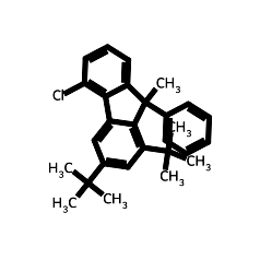 CC(C)(C)c1cc2c(c(C(C)(C)C)c1)C(C)(c1ccccc1)c1cccc(Cl)c1-2